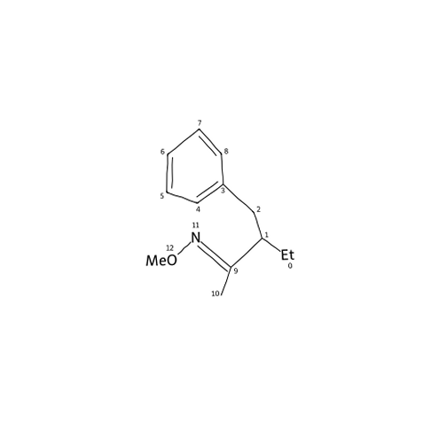 CCC(Cc1ccccc1)C(C)=NOC